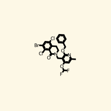 Cc1cc(OC(F)F)c(CN2CCc3c(Cl)cc(Br)c(Cl)c3C2=O)c(OCc2ccccc2)n1